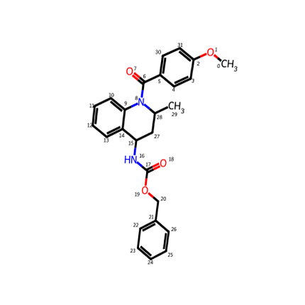 COc1ccc(C(=O)N2c3ccccc3C(NC(=O)OCc3ccccc3)CC2C)cc1